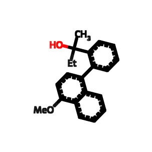 CCC(C)(O)c1ccccc1-c1ccc(OC)c2ccccc12